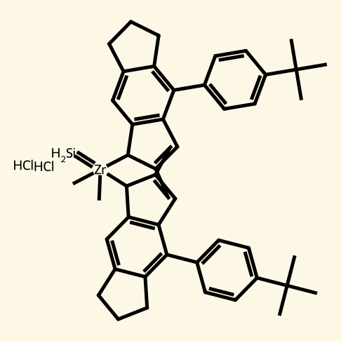 CC1=Cc2c(cc3c(c2-c2ccc(C(C)(C)C)cc2)CCC3)[CH]1[Zr]([CH3])([CH3])(=[SiH2])[CH]1C(C)=Cc2c1cc1c(c2-c2ccc(C(C)(C)C)cc2)CCC1.Cl.Cl